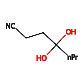 CCCC(O)(O)CCC#N